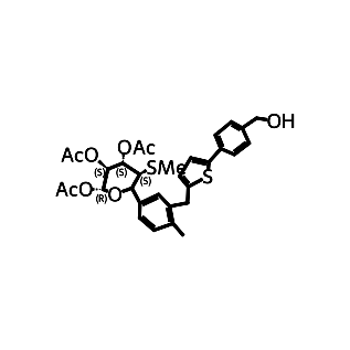 CS[C@H]1C(c2ccc(C)c(Cc3ccc(-c4ccc(CO)cc4)s3)c2)O[C@H](OC(C)=O)[C@@H](OC(C)=O)[C@@H]1OC(C)=O